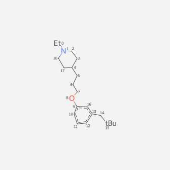 CCN1CCC(CCCOc2cccc(CC(C)(C)C)c2)CC1